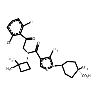 CC1(C)CC[C@H]1N(CC(=O)c1c(Cl)cccc1Cl)C(=O)c1cnn([C@H]2CC[C@](C)(C(=O)O)CC2)c1C(F)(F)F